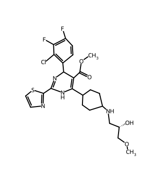 COC[C@@H](O)CNC1CCC(C2=C(C(=O)OC)C(c3ccc(F)c(F)c3Cl)N=C(c3nccs3)N2)CC1